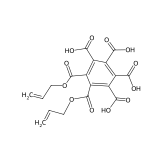 C=CCOC(=O)c1c(C(=O)O)c(C(=O)O)c(C(=O)O)c(C(=O)O)c1C(=O)OCC=C